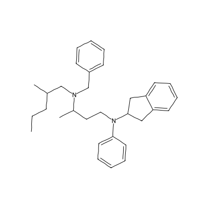 CCCC(C)CN(Cc1ccccc1)C(C)CCN(c1ccccc1)C1Cc2ccccc2C1